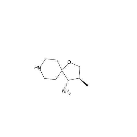 C[C@@H]1COC2(CCNCC2)[C@H]1N